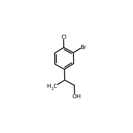 [CH2]C(CO)c1ccc(Cl)c(Br)c1